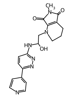 CN1C(=O)C2=C(C1=O)N(CC(O)Nc1ccc(-c3ccncc3)nn1)CCC2